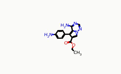 CCOC(=O)c1cn2ncnc(N)c2c1-c1ccc(N)cc1